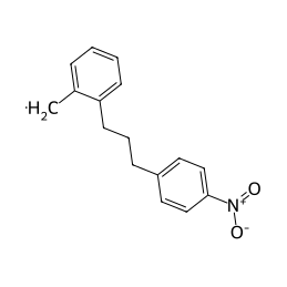 [CH2]c1ccccc1CCCc1ccc([N+](=O)[O-])cc1